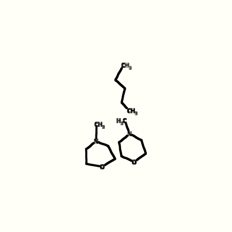 CCCCC.CN1CCOCC1.CN1CCOCC1